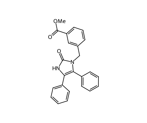 COC(=O)c1cccc(Cn2c(-c3ccccc3)c(-c3ccccc3)[nH]c2=O)c1